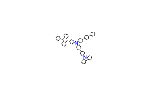 c1ccc(-c2ccc(-c3ccc4c(c3)c3cc(-c5ccc(-n6c7ccccc7c7ccccc76)cc5)ccc3n4-c3ccc(-c4c5ccccc5c(-c5ccccc5)c5ccccc45)cc3)cc2)cc1